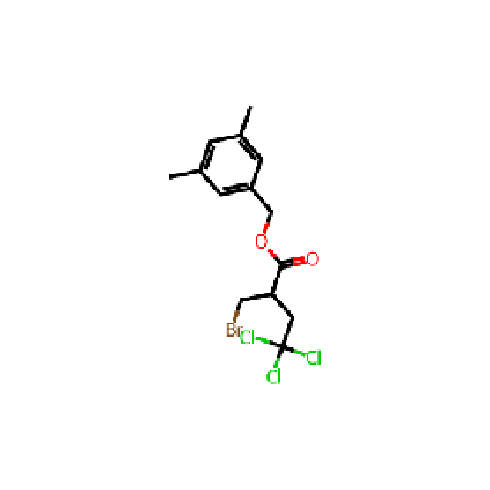 Cc1cc(C)cc(COC(=O)C(CBr)CC(Cl)(Cl)Cl)c1